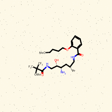 COCCCCOc1ccccc1C(=O)NC[C@@H](C[C@H](N)[C@@H](O)CNC(=O)C(OC)(C(F)(F)F)C(F)(F)F)C(C)C